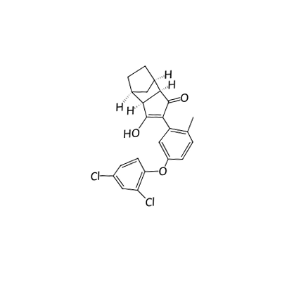 Cc1ccc(Oc2ccc(Cl)cc2Cl)cc1C1=C(O)[C@H]2[C@H]3CC[C@H](C3)[C@H]2C1=O